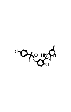 Cc1cnc2nc(-c3cc(NC(=O)C(C)(C)c4ccc(Cl)cc4)ccc3Cl)[nH]c2c1